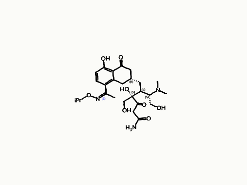 C/C(=N/OC(C)C)c1ccc(O)c2c1C[C@@H](C[C@@H]([C@@H](CO)N(C)C)[C@](O)(CO)C(=O)CC(N)=O)CC2=O